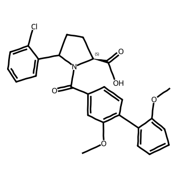 COc1ccccc1-c1ccc(C(=O)N2C(c3ccccc3Cl)CC[C@H]2C(=O)O)cc1OC